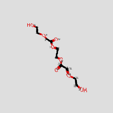 O=C(COCCO)OCCOC(=O)COCCO